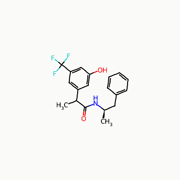 CC(C(=O)N[C@H](C)Cc1ccccc1)c1cc(O)cc(C(F)(F)F)c1